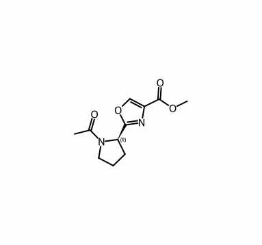 COC(=O)c1coc([C@H]2CCCN2C(C)=O)n1